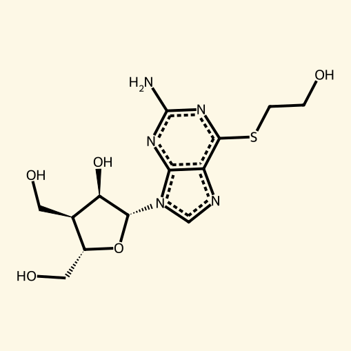 Nc1nc(SCCO)c2ncn([C@@H]3O[C@H](CO)[C@@H](CO)[C@H]3O)c2n1